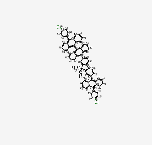 CC1(C)c2cc(-c3c4ccccc4c(-c4ccc(Cl)cc4)c4ccccc34)ccc2-c2ccc(-c3c4ccccc4c(-c4c5ccccc5c(-c5ccc(Cl)cc5)c5ccccc45)c4ccccc34)cc21